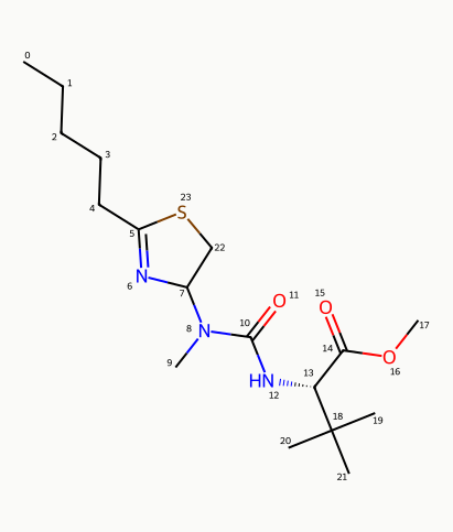 CCCCCC1=NC(N(C)C(=O)N[C@H](C(=O)OC)C(C)(C)C)CS1